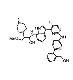 COC[C@H](C(O)Nc1cccc2c(-c3nc(Nc4ccc(-c5ccccc5CO)nc4)ncc3F)c[nH]c12)N1CCN(C)CC1